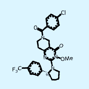 COn1c(N2CCC[C@@H]2c2ccc(C(F)(F)F)cc2)nc2c(c1=O)CN(C(=O)c1ccc(Cl)cc1)CC2